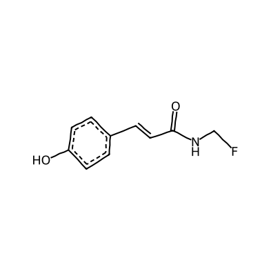 O=C(C=Cc1ccc(O)cc1)NCF